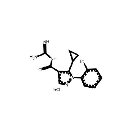 CCc1ccccc1-n1ncc(C(=O)NC(=N)N)c1C1CC1.Cl